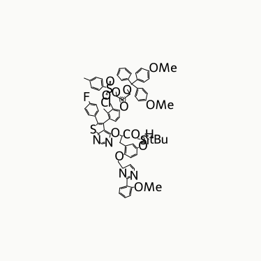 COc1ccc(C(OC[C@H](COS(=O)(=O)c2ccc(C)cc2)Oc2ccc(-c3c(-c4ccc(F)cc4)sc4ncnc(OC(Cc5cc(O[Si](C)(C)C(C)(C)C)ccc5OCc5ccnc(-c6ccccc6OC)n5)C(=O)O)c34)c(C)c2Cl)(c2ccccc2)c2ccc(OC)cc2)cc1